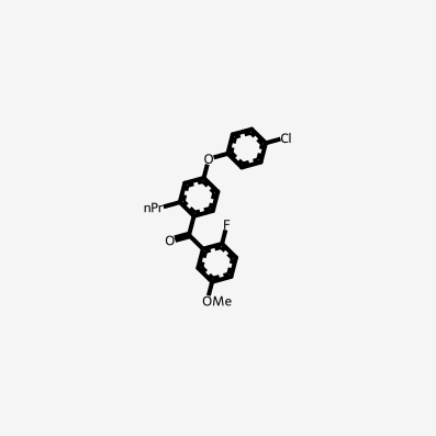 CCCc1cc(Oc2ccc(Cl)cc2)ccc1C(=O)c1cc(OC)ccc1F